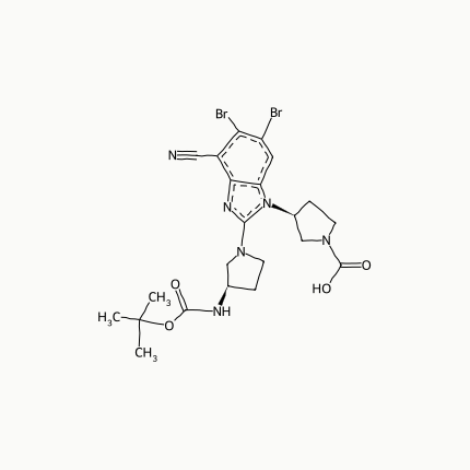 CC(C)(C)OC(=O)N[C@@H]1CCN(c2nc3c(C#N)c(Br)c(Br)cc3n2[C@H]2CCN(C(=O)O)C2)C1